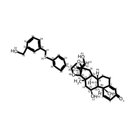 C[C@]12C=CC(=O)C=C1CC[C@@H]1[C@@H]2[C@@H](O)C[C@@]2(C)[C@H]1C[C@H]1O[C@@H](c3ccc(SCc4cccc(CO)c4)cc3)O[C@]12C(=O)CO